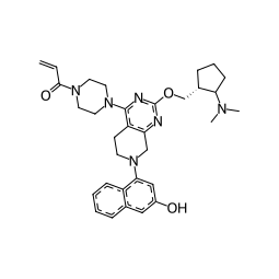 C=CC(=O)N1CCN(c2nc(OC[C@@H]3CCCC3N(C)C)nc3c2CCN(c2cc(O)cc4ccccc24)C3)CC1